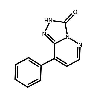 O=c1[nH]nc2c(-c3ccccc3)ccnn12